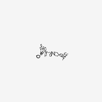 O=C(NCCCC(=O)N1CCC(OCC(F)(F)F)CC1)c1cn(-c2ccccc2)nc1C(F)(F)F